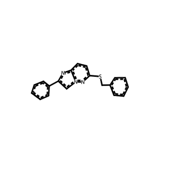 c1ccc(CSc2ccc3nc(-c4ccccc4)cn3n2)cc1